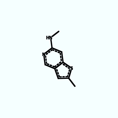 CNc1cc2sc(C)cc2cn1